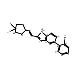 FC1(F)CCC(C=Cc2nc3cc(-c4ccccc4Cl)ccc3[nH]2)CC1